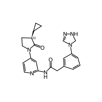 O=C(Cc1cccc(N2C=NNC2)c1)Nc1cc(N2CC[C@@H](C3CC3)C2=O)ccn1